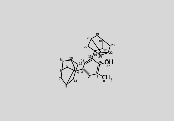 Cc1cc(C23CC4CC(CC(C4)C2)C3)cc(C23CC4CC(CC(C4)C2)C3)c1O